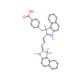 CN1/C(=C/C=C/C2=[N+](C)c3ccc4ccccc4c3C2(C)Cc2ccc(C(=O)O)cc2)C(C)(C)c2c1ccc1ccccc21